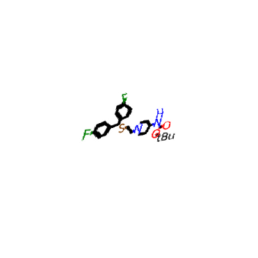 CC(C)(C)OC(=O)NC1CCN(CCSC(c2ccc(F)cc2)c2ccc(F)cc2)CC1